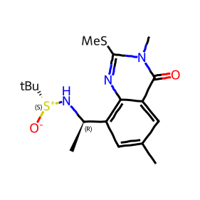 CSc1nc2c([C@@H](C)N[S@+]([O-])C(C)(C)C)cc(C)cc2c(=O)n1C